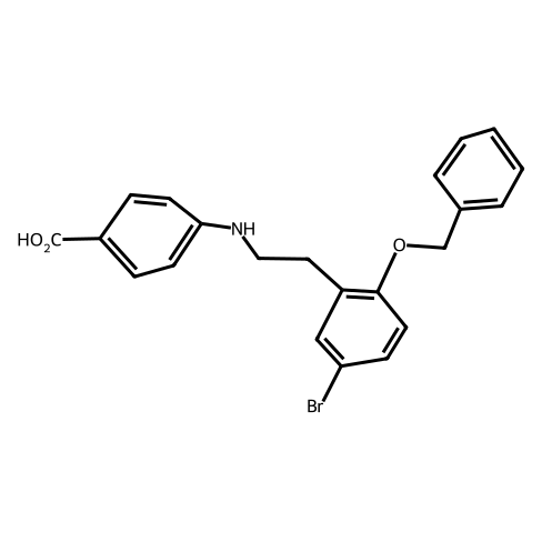 O=C(O)c1ccc(NCCc2cc(Br)ccc2OCc2ccccc2)cc1